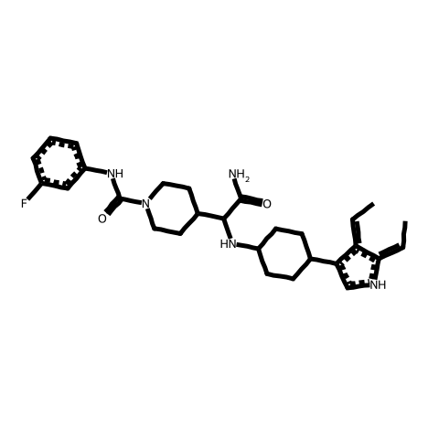 C/C=c1/c(C2CCC(NC(C(N)=O)C3CCN(C(=O)Nc4cccc(F)c4)CC3)CC2)c[nH]/c1=C/C